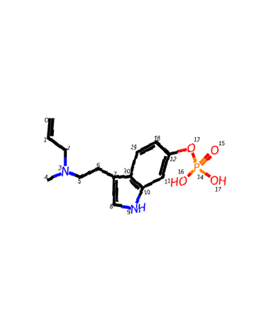 C=CCN(C)CCc1c[nH]c2cc(OP(=O)(O)O)ccc12